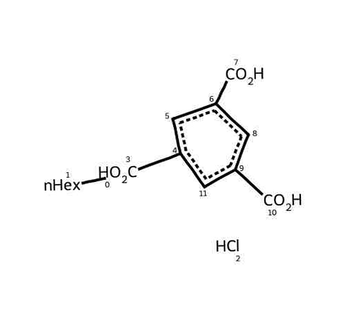 CCCCCCC.Cl.O=C(O)c1cc(C(=O)O)cc(C(=O)O)c1